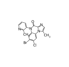 Cc1ncccc1-n1c(=O)c2ncc(C)n2c2cc(Cl)c(Br)cc21